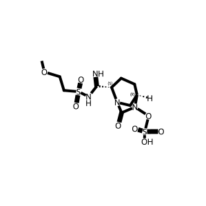 COCCS(=O)(=O)NC(=N)[C@@H]1CC[C@@H]2CN1C(=O)N2OS(=O)(=O)O